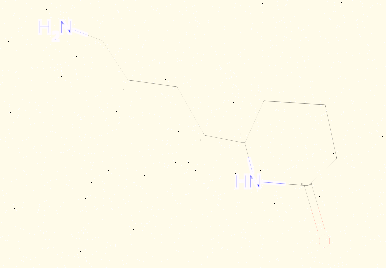 NCCCCC1CCCC(=O)N1